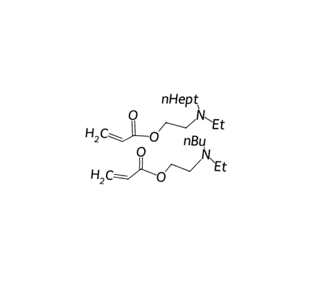 C=CC(=O)OCCN(CC)CCCC.C=CC(=O)OCCN(CC)CCCCCCC